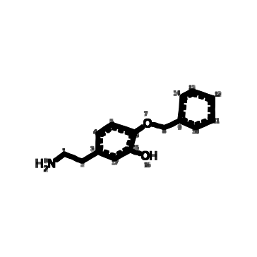 NCCc1ccc(OCc2ccccc2)c(O)c1